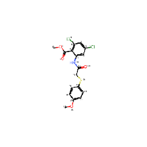 COC(=O)c1c(Cl)cc(Cl)cc1NC(=O)CSc1ccc(OC)cc1